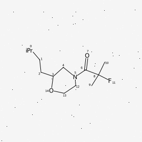 CC(C)CCC1CN(C(=O)C(C)(C)F)CCO1